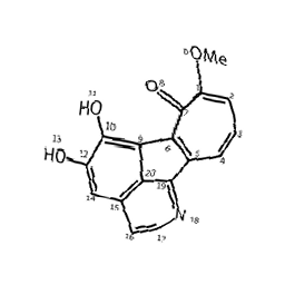 COc1cccc2c(c1=O)-c1c(O)c(O)cc3ccnc-2c13